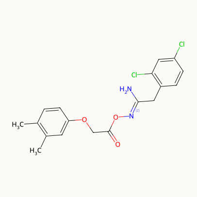 Cc1ccc(OCC(=O)O/N=C(\N)Cc2ccc(Cl)cc2Cl)cc1C